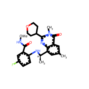 CONC(=O)c1cc(F)ccc1N[C@H](C)c1cc(C)cc2c(=O)n(C)c(C3CCOCC3)nc12